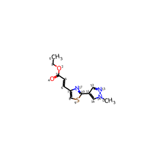 CCOC(=O)/C=C/c1csc(-c2cnn(C)c2)n1